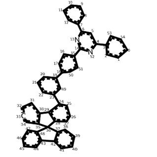 c1ccc(-c2cc(-c3ccccc3)nc(-c3ccc(-c4cccc(-c5cccc6c5-c5ccccc5C65c6ccccc6-c6ccccc65)c4)cc3)n2)cc1